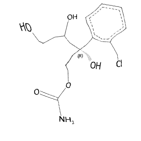 NC(=O)OC[C@](O)(c1ccccc1Cl)C(O)CO